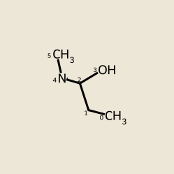 CCC(O)[N]C